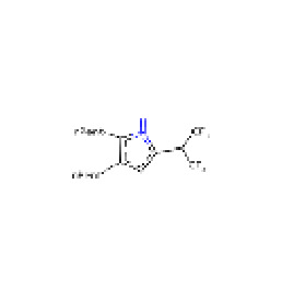 CCCCCc1cc(C(C(F)(F)F)C(F)(F)F)[nH]c1CCCCC